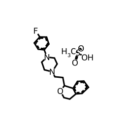 CS(=O)(=O)O.Fc1ccc(N2CCN(CCC3OCCc4ccccc43)CC2)cc1